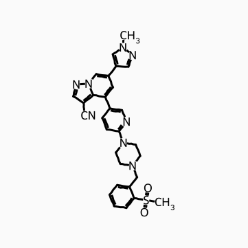 Cn1cc(-c2cc(-c3ccc(N4CCN(Cc5ccccc5S(C)(=O)=O)CC4)nc3)c3c(C#N)cnn3c2)cn1